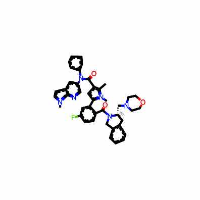 Cc1c(C(=O)N(c2ccccc2)c2cnc3c(ccn3C)c2)cc(-c2cc(F)ccc2C(=O)N2Cc3ccccc3C[C@H]2CN2CCOCC2)n1C